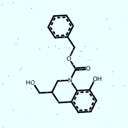 O=C(OCc1ccccc1)N1CC(CO)Cc2cccc(O)c21